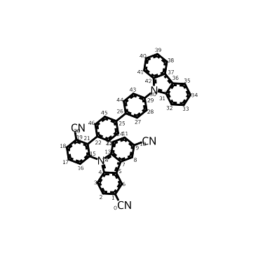 N#Cc1ccc2c(c1)c1cc(C#N)ccc1n2-c1cccc(C#N)c1-c1ccc(-c2ccc(-n3c4ccccc4c4ccccc43)cc2)cc1